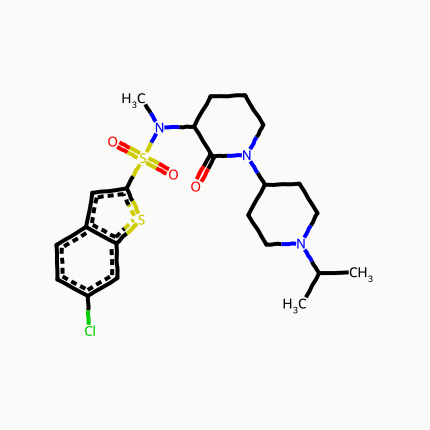 CC(C)N1CCC(N2CCCC(N(C)S(=O)(=O)c3cc4ccc(Cl)cc4s3)C2=O)CC1